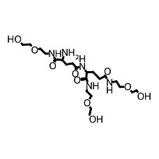 NC(CCC(=O)NC(CCC(=O)NCCOCCO)C(=O)NCCOCCO)C(=O)NCCOCCO